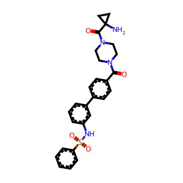 NC1(C(=O)N2CCN(C(=O)c3ccc(-c4cccc(NS(=O)(=O)c5ccccc5)c4)cc3)CC2)CC1